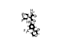 CC(C)CN(CC(F)F)[C@@H](C(N)=O)C(=O)Nc1ccc(N2CCOCC2=O)c(C(F)(F)F)c1